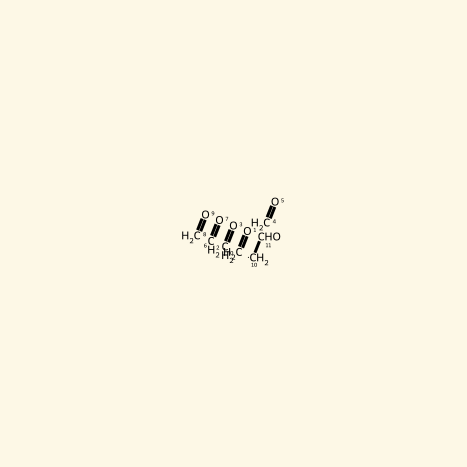 C=O.C=O.C=O.C=O.C=O.[CH2]C=O